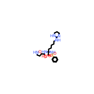 O=C(NC(CCCCCNC1N=CCCN1)(NS(=O)(=O)c1ccccc1)C(=O)O)C1CCNO1